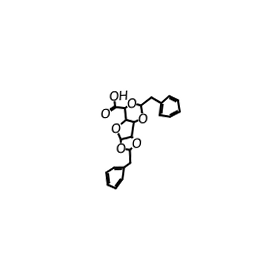 O=C(O)C1OC(Cc2ccccc2)OC2C3OC(Cc4ccccc4)OC3OC12